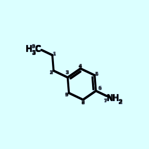 CCCC1=CC=C(N)CC1